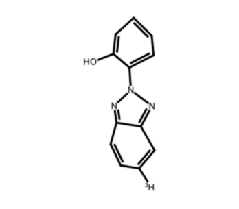 [3H]c1ccc2nn(-c3ccccc3O)nc2c1